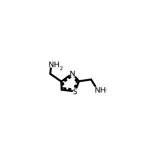 [NH]Cc1nc(CN)cs1